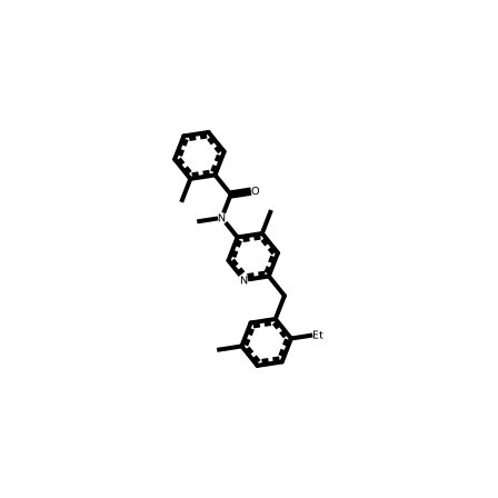 CCc1ccc(C)cc1Cc1cc(C)c(N(C)C(=O)c2ccccc2C)cn1